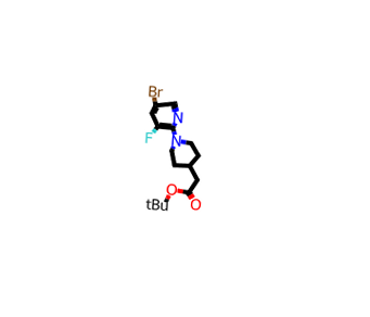 CC(C)(C)OC(=O)CC1CCN(c2ncc(Br)cc2F)CC1